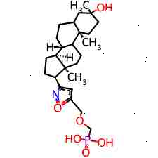 C[C@@]1(O)CC[C@@]2(C)C(CC[C@@H]3C2CC[C@]2(C)[C@@H](c4cc(COCP(=O)(O)O)on4)CC[C@@H]32)C1